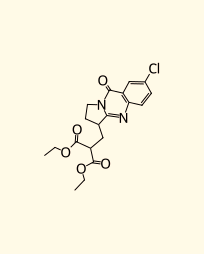 CCOC(=O)C(CC1CCn2c1nc1ccc(Cl)cc1c2=O)C(=O)OCC